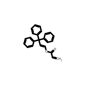 C=CC(=O)OC=CC(c1ccccc1)(c1ccccc1)c1ccccc1